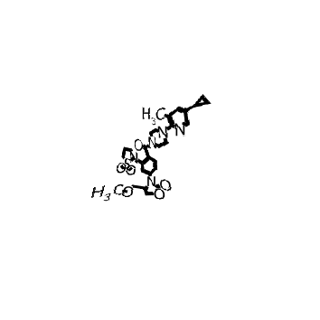 COCC1COC(=O)N1c1ccc(C(=O)N2CCN(c3ncc(C4CC4)cc3C)CC2)c(N2CCCS2(=O)=O)c1